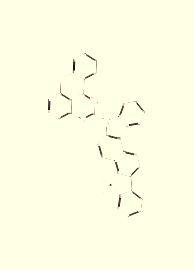 CC1(C)c2ccccc2-c2ccc3c(ccc4c3c3ccccc3n4-c3nc4c5c(cccc5n3)Oc3ccccc3-4)c21